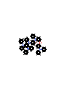 c1ccc(N(c2ccccc2)c2ccc3c(c2)Oc2cccc4c2B3c2ccc(-n3c5ccccc5c5c6c(c7ccccc7n6-c6ccccc6)c6c(c7ccccc7n6-c6ccccc6)c53)cc2N4c2ccccc2)cc1